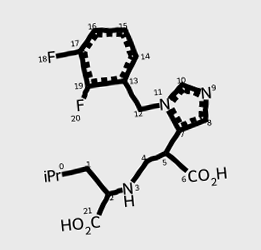 CC(C)CC(NCC(C(=O)O)c1cncn1Cc1cccc(F)c1F)C(=O)O